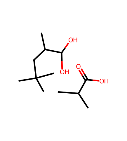 CC(C)C(=O)O.CC(CC(C)(C)C)C(O)O